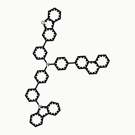 c1cc(-c2ccc3c(c2)oc2ccccc23)cc(N(c2ccc(-c3cccc(-n4c5ccccc5c5ccccc54)c3)cc2)c2ccc(-c3ccc4c(ccc5ccccc54)c3)cc2)c1